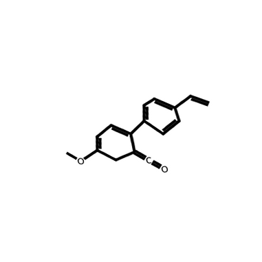 C=Cc1ccc(C2=CC=C(OC)CC2=C=O)cc1